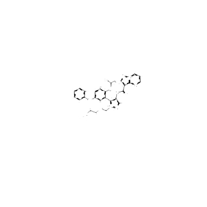 C[Si](C)(C)CCOCn1ncc(NC(=O)c2cnn3cccnc23)c1-c1cc(Oc2ccccc2)ccc1OC(F)F